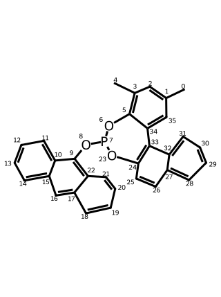 Cc1cc(C)c2op(Oc3c4ccccc4cc4ccccc34)oc3ccc4ccccc4c3c2c1